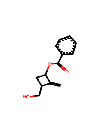 C=C1C(CO)CC1OC(=O)c1ccccc1